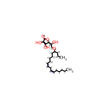 CCCCC/C=C\C/C=C\CCCCC(CCC)OC[C@H](O)[C@H]1OC(=O)C(O)=C1O